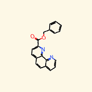 O=C(OCc1ccccc1)c1ccc2ccc3cccnc3c2n1